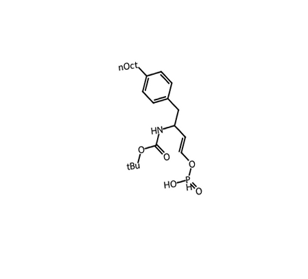 CCCCCCCCc1ccc(CC(/C=C/O[PH](=O)O)NC(=O)OC(C)(C)C)cc1